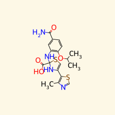 Cc1ncsc1C1=CSC(Nc2cc(C(N)=O)ccc2OC(C)C)(C(=O)O)N1